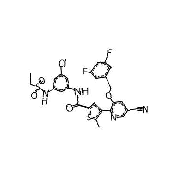 CCS(=O)(=O)Nc1cc(Cl)cc(NC(=O)c2cc(-c3ncc(C#N)cc3OCc3cc(F)cc(F)c3)c(C)s2)c1